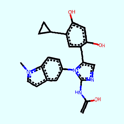 C=C(O)Nc1ncc(-c2cc(C3CC3)c(O)cc2O)n1-c1ccc2c(ccn2C)c1